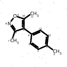 Cc1c[c]c(-c2c(C)noc2C)cc1